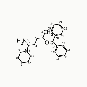 CC(CCC(N)N1CCCCC1)OC(c1ccccc1)c1ccccc1